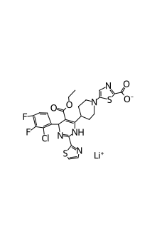 CCOC(=O)C1=C(C2CCN(c3cnc(C(=O)[O-])s3)CC2)NC(c2nccs2)=NC1c1ccc(F)c(F)c1Cl.[Li+]